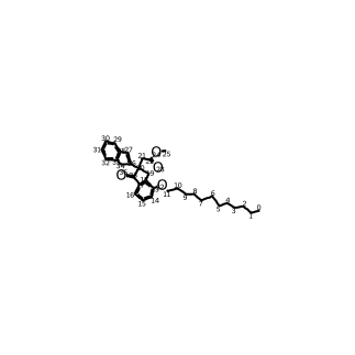 CCCCCCCCCCCCOc1cccc2c1CC(CC(=O)OC)(C1=Cc3ccccc3C1)C2=O